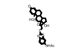 CC(=O)Nc1ccc2nc(SCC(=O)[C@@]3(O)CCC4C5CCC6=CC(=O)C=CC6(C)C5[C@@H](O)CC43C)sc2c1